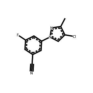 Cc1nn(-c2cc(F)cc(C#N)c2)cc1Cl